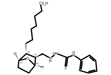 O=C(O)CCCCCC[C@@H]1[C@@H](CNNC(=S)Nc2ccccc2)[C@H]2CC[C@@H]1O2